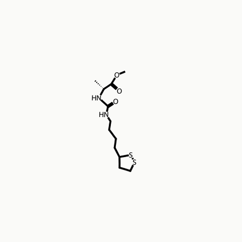 COC(=O)[C@@H](C)NC(=O)NCCCCC1CCSS1